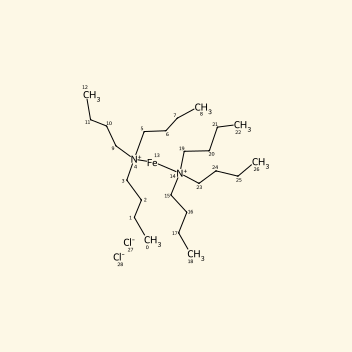 CCCC[N+](CCCC)(CCCC)[Fe][N+](CCCC)(CCCC)CCCC.[Cl-].[Cl-]